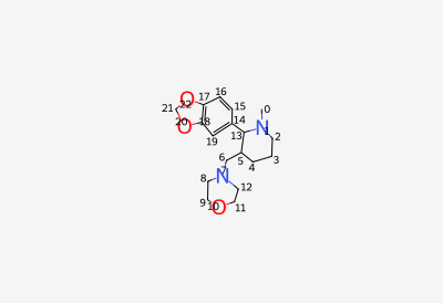 CN1CCCC(CN2CCOCC2)C1c1ccc2c(c1)OCO2